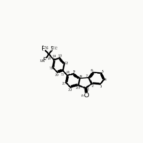 O=C1c2ccccc2-c2cc(-c3ccc(C(F)(F)F)cc3)ccc21